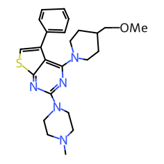 COCC1CCN(c2nc(N3CCN(C)CC3)nc3scc(-c4ccccc4)c23)CC1